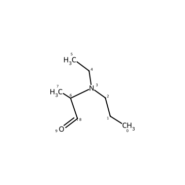 CCCN(CC)C(C)[C]=O